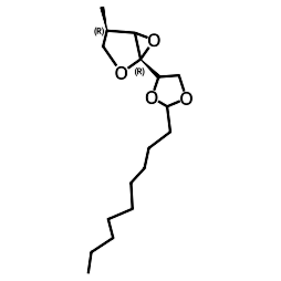 CCCCCCCCCC1OCC([C@@]23OC[C@@H](C)C2O3)O1